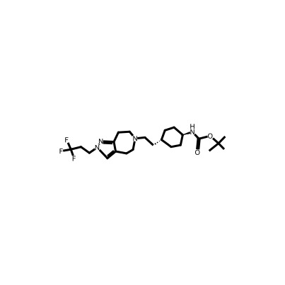 CC(C)(C)OC(=O)N[C@H]1CC[C@H](CCN2CCc3cn(CCC(F)(F)F)nc3CC2)CC1